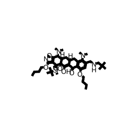 CCCCOc1cc(CNCC(C)(C)C)c(N(C)C)c2c1C(=O)C1=C(O)[C@]3(O[Si](C)(C)C(C)(C)C)C(=O)c4c(OCCCC)noc4[C@@H](N(C)C)[C@@H]3C[C@@H]1C2